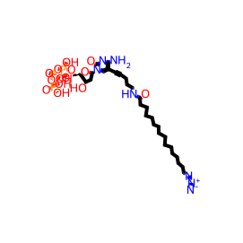 [N-]=[N+]=NCCCCCCCCCCCCCCCC(=O)NCCCC#Cc1cn([C@H]2C[C@H](O)[C@@H](COP(=O)(O)OP(=O)(O)OP(=O)(O)O)O2)c(=O)nc1N